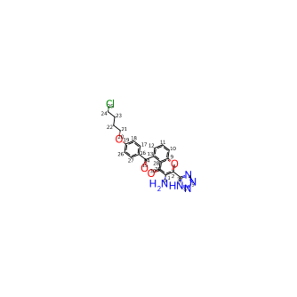 Nc1c(-c2nnn[nH]2)oc2cccc(C(=O)c3ccc(OCCCCCl)cc3)c2c1=O